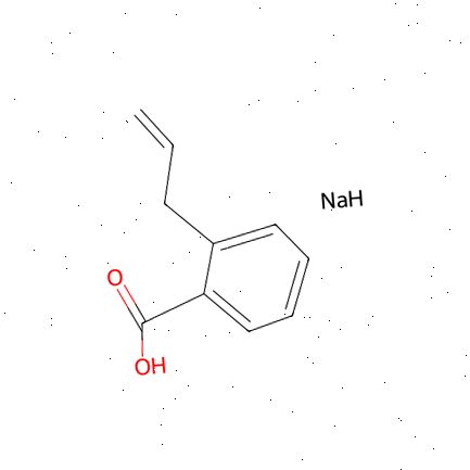 C=CCc1ccccc1C(=O)O.[NaH]